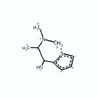 CC(C(O)c1cccs1)N(C)C